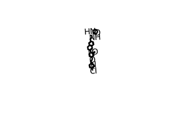 O=c1cc(OCc2ccc(Cl)cn2)ccn1C1=Cc2ccc(CNC[C@H]3COCCN3)cc2CC1